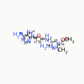 C=C1N=C(N)C(CNC[C@@H]2CC[C@H](n3cnc4c(N)ncnc43)O2)=CN1COC